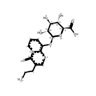 CCCc1cnc2c(O[C@@H]3O[C@H](C(=O)O)[C@@H](O)[C@H](O)[C@H]3O)cccn2c1=O